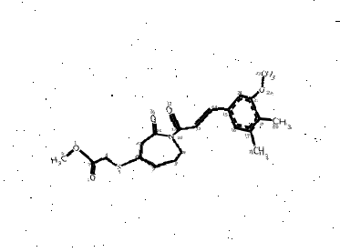 COC(=O)CSC1CCCN(C(=O)/C=C/c2cc(C)c(C)c(OC)c2)C(=O)C1